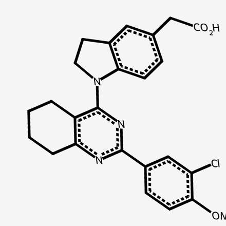 COc1ccc(-c2nc3c(c(N4CCc5cc(CC(=O)O)ccc54)n2)CCCC3)cc1Cl